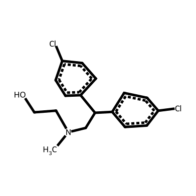 CN(CCO)CC(c1ccc(Cl)cc1)c1ccc(Cl)cc1